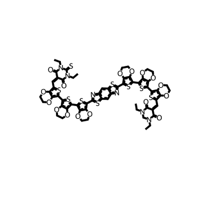 CCN1CN(CC)C(=O)C(=Cc2sc(-c3sc(-c4sc(-c5nc6cc7sc(-c8sc(-c9sc(-c%10sc(C=C%11C(=O)N(CC)C(=S)N(CC)C%11=O)c%11c%10OCCO%11)c%10c9OCCO%10)c9c8OCCO9)nc7cc6s5)c5c4OCCO5)c4c3OCCO4)c3c2OCCO3)C1=O